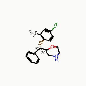 FC(F)(F)c1cc(Cl)ccc1S[C@@H](c1ccccc1)[C@@H]1CNCCO1